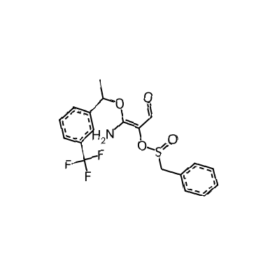 CC(O/C(N)=C(\C=O)OS(=O)Cc1ccccc1)c1cccc(C(F)(F)F)c1